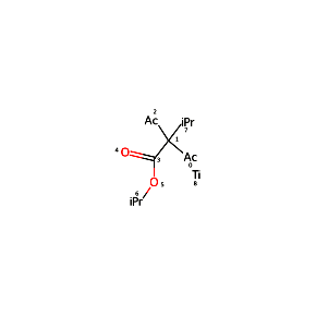 CC(=O)C(C(C)=O)(C(=O)OC(C)C)C(C)C.[Ti]